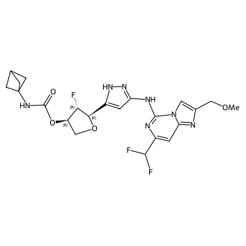 COCc1cn2c(Nc3cc([C@H]4OC[C@@H](OC(=O)NC56CC(C5)C6)[C@@H]4F)[nH]n3)nc(C(F)F)cc2n1